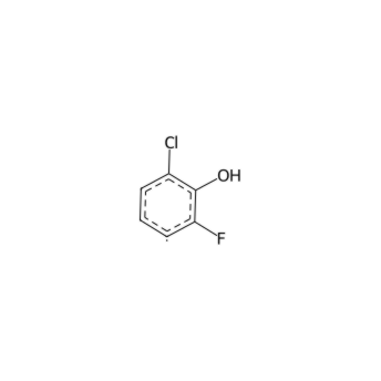 Oc1c(F)[c]ccc1Cl